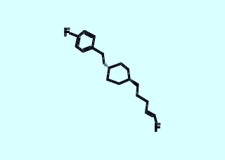 FC=CCCC[C@H]1CC[C@H](CCc2ccc(F)cc2)CC1